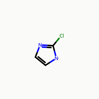 ClC1=NC=C[N]1